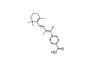 CC1=C(/C=C/C(C)=C(\F)c2ccc(C(=O)O)cc2)C(C)(C)CCC1